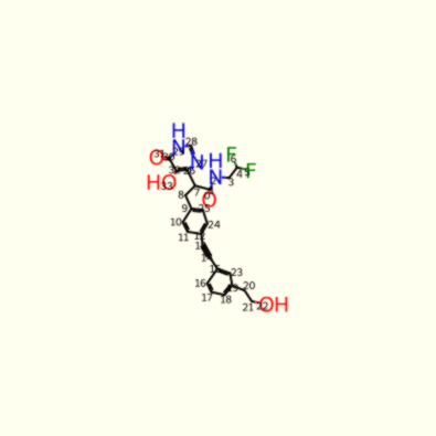 O=C(NCC(F)F)C(Cc1ccc(C#Cc2cccc(CCO)c2)cc1)c1nc[nH]c(=O)c1O